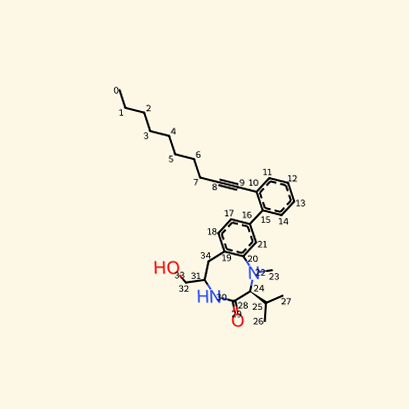 CCCCCCCCC#Cc1ccccc1-c1ccc2c(c1)N(C)[C@@H](C(C)C)C(=O)NC(CO)C2